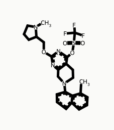 Cc1cccc2cccc(N3CCc4c(nc(OCC5CCCN5C)nc4OS(=O)(=O)C(F)(F)F)C3)c12